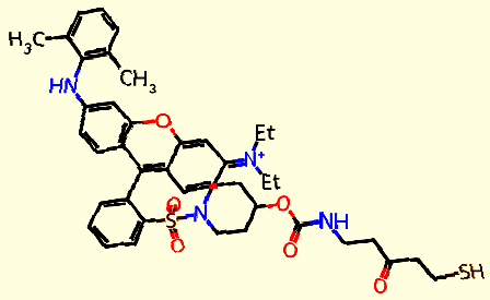 CC[N+](CC)=c1ccc2c(-c3ccccc3S(=O)(=O)N3CCC(OC(=O)NCCC(=O)CCS)CC3)c3ccc(Nc4c(C)cccc4C)cc3oc-2c1